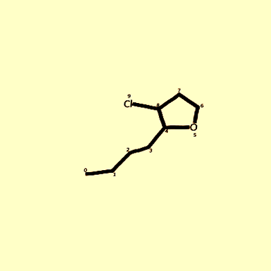 CCCCC1OCCC1Cl